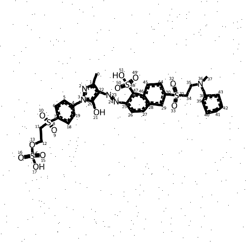 Cc1nn(-c2ccc(S(=O)(=O)CCOS(=O)(=O)O)cc2)c(O)c1N=Nc1ccc2cc(S(=O)(=O)CCN(C)c3ccccc3)ccc2c1S(=O)(=O)O